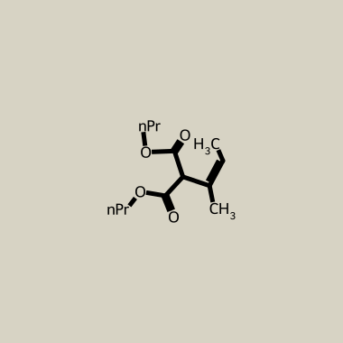 C/C=C(/C)C(C(=O)OCCC)C(=O)OCCC